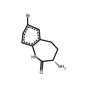 N[C@H]1CCc2cc(Br)ccc2NC1=O